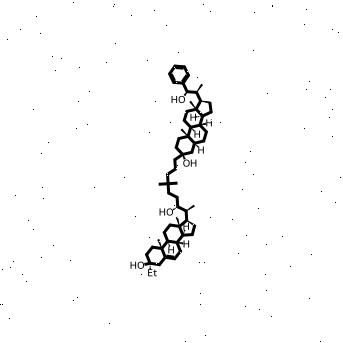 CC[C@]1(O)CC[C@@]2(C)C(=CC[C@H]3[C@@H]4CC[C@H]([C@H](C)[C@H](O)CCC(C)(C)CCC[C@]5(O)CC[C@@]6(C)[C@@H](CC[C@@H]7[C@@H]6CC[C@]6(C)[C@@H]([C@H](C)[C@@H](O)c8ccccc8)CC[C@@H]76)C5)[C@@]4(C)CC[C@@H]32)C1